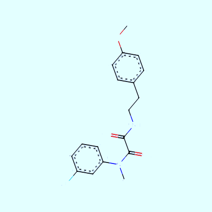 COc1ccc(CCNC(=O)C(=O)N(C)c2cccc(F)c2)cc1